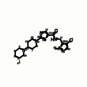 C[C@@H]1CCCN(C2CCN(c3ncc(C(=O)NCc4c(Cl)cnn4C)s3)CC2)C1